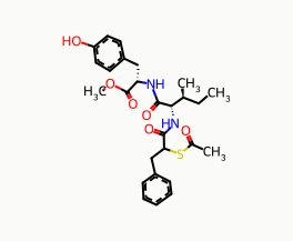 CC[C@H](C)[C@H](NC(=O)C(Cc1ccccc1)SC(C)=O)C(=O)N[C@@H](Cc1ccc(O)cc1)C(=O)OC